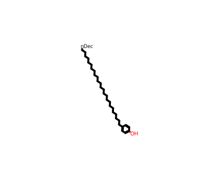 CCCCCCCCCCCCCCCCCCCCCCCCCCCCCCCCCCCc1ccc(O)cc1